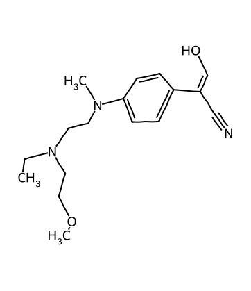 CCN(CCOC)CCN(C)c1ccc(/C(C#N)=C\O)cc1